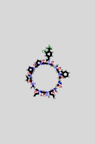 CCCN1C(=O)C[C@@H](C)NC(=O)[C@H](C(C)C)N(C)C(=O)C2(CCCC2)NC(=O)[C@@H]2CCCN2C(=O)[C@H](CCc2ccc(C(F)(F)F)c(Cl)c2)NC(=O)CN(C)C(=O)[C@H](CC2CCCCC2)N(C)C(=O)CN(C)C(=O)CN(C)C(=O)[C@H]([C@@H](C)CC)NC(=O)[C@@H]1C